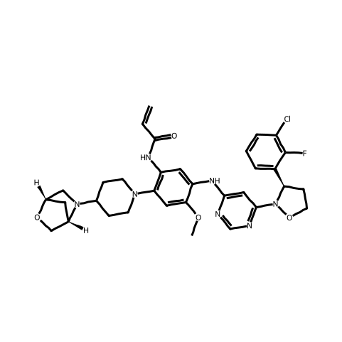 C=CC(=O)Nc1cc(Nc2cc(N3OCC[C@@H]3c3cccc(Cl)c3F)ncn2)c(OC)cc1N1CCC(N2C[C@@H]3C[C@H]2CO3)CC1